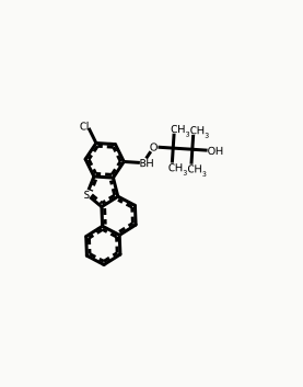 CC(C)(O)C(C)(C)OBc1cc(Cl)cc2sc3c4ccccc4ccc3c12